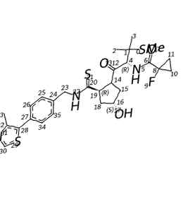 CSC(C)(C)[C@H](NC(=O)C1(F)CC1)C(=O)C1C[C@H](O)C[C@H]1C(=S)NCc1ccc(-c2scnc2C)cc1